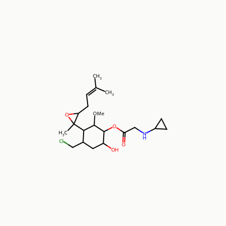 COC1C(OC(=O)CNC2CC2)C(O)CC(CCl)C1C1(C)OC1CC=C(C)C